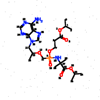 CC(C)OC(=O)CCOP(=O)(COC(C)Cn1cnc2c(N)ncnc21)NC(C)(C)C(=O)OC(C)C